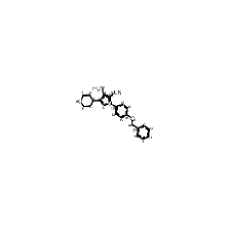 N#Cc1c(N)c(C2CCOCC2)cn1-c1ccc(OCc2ccccc2)cc1